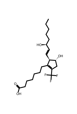 CCCCC[C@H](O)C=C[C@@H]1C(CCCCCCC(=O)O)=C(C(F)(F)F)C[C@H]1O